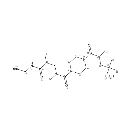 CC(CC(C)C(=O)N1CCN(C(=O)C(C)CC(C)(C)C(=O)O)CC1)C(=O)NCC(C)(C)C